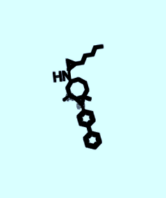 CCCCCC1CC1NC1CCCC2(C)C([C@@H](C)C1)[C@@H]2c1ccc(-c2ccccc2)cc1